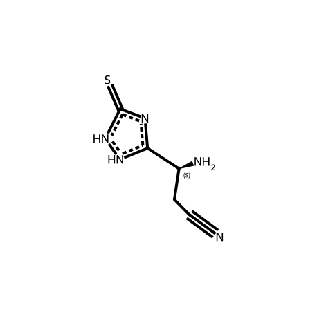 N#CC[C@H](N)c1nc(=S)[nH][nH]1